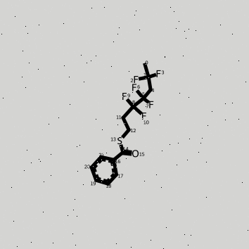 CC(F)(F)CC(F)(F)C(F)(F)CCSC(=O)c1ccccc1